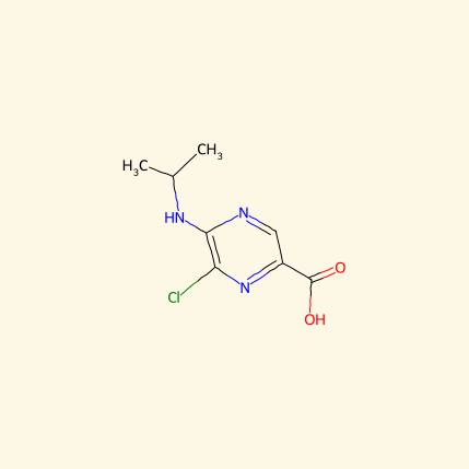 CC(C)Nc1ncc(C(=O)O)nc1Cl